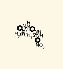 CN(C)c1nc(N[C@H]2CC[C@@H](NC(=S)Nc3ccc([N+](=O)[O-])cc3)CC2)nc2ccccc12